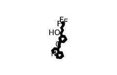 OC(CCCC(F)(F)F)c1cccc(OCc2ccnc3ccccc23)c1